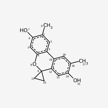 Cc1cc2c(cc1O)OC1(CC1)c1cc(O)c(C)cc1-2